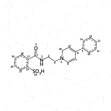 O=C(NCCN1C=CC(c2ccccc2)=CC1)c1ccccc1S(=O)(=O)O